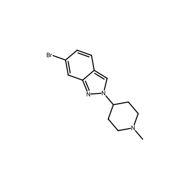 CN1CCC(n2cc3ccc(Br)cc3n2)CC1